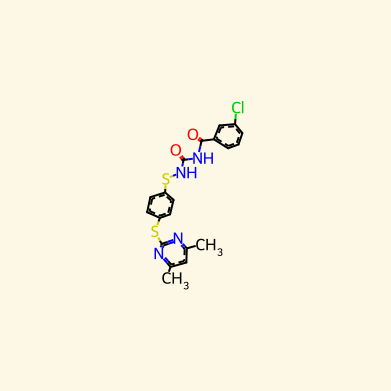 Cc1cc(C)nc(Sc2ccc(SNC(=O)NC(=O)c3cccc(Cl)c3)cc2)n1